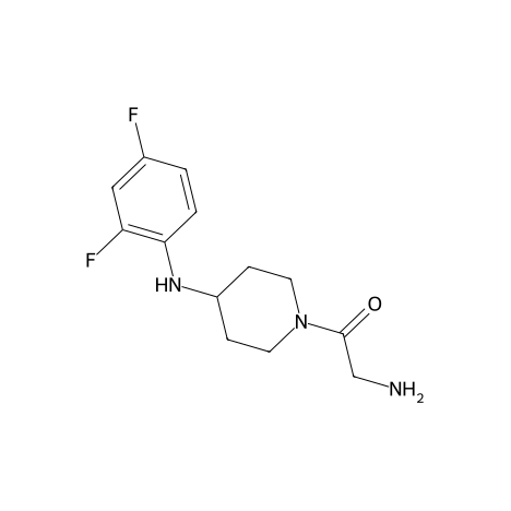 NCC(=O)N1CCC(Nc2ccc(F)cc2F)CC1